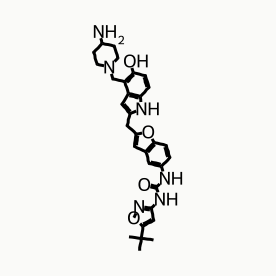 CC(C)(C)c1cc(NC(=O)Nc2ccc3oc(Cc4cc5c(CN6CCC(N)CC6)c(O)ccc5[nH]4)cc3c2)no1